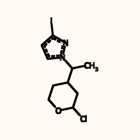 CC(C1CCOC(Cl)C1)n1ccc(I)n1